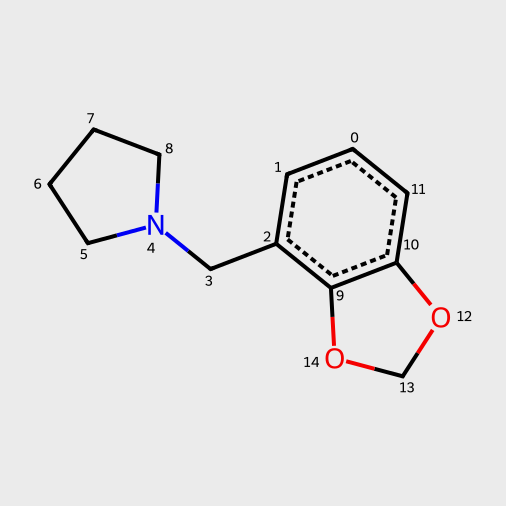 c1cc(CN2CCCC2)c2c(c1)OCO2